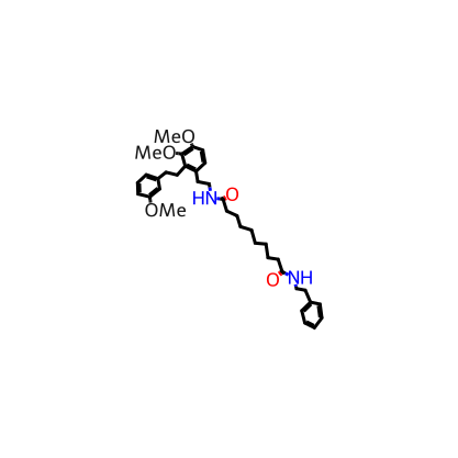 COc1cccc(CCc2c(CCNC(=O)CCCCCCCCC(=O)NCCc3ccccc3)ccc(OC)c2OC)c1